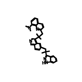 CN(C)c1cccc2ccc(CC(C)(C)c3cncc4ccc(CC(C)(C)c5n[nH]c6ccccc56)cc34)nc12